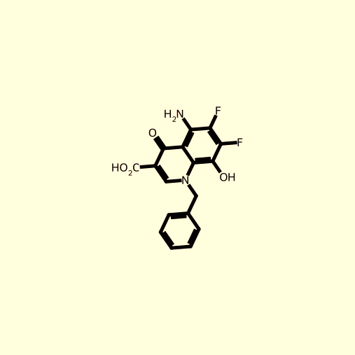 Nc1c(F)c(F)c(O)c2c1c(=O)c(C(=O)O)cn2Cc1ccccc1